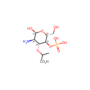 CC(O[C@@H]1[C@@H](N)[C@@H](O)O[C@H](CO)[C@H]1OP(=O)(O)O)C(=O)O